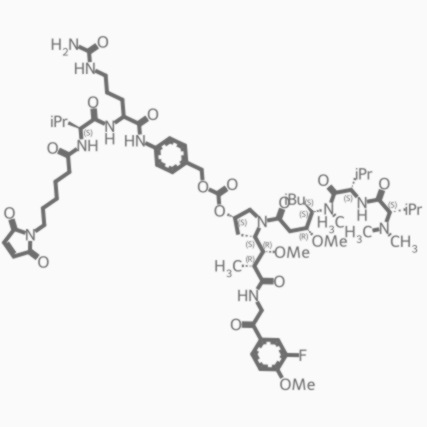 CC[C@H](C)[C@@H]([C@@H](CC(=O)N1C[C@@H](OC(=O)OCc2ccc(NC(=O)C(CCCNC(N)=O)NC(=O)[C@@H](NC(=O)CCCCCN3C(=O)C=CC3=O)C(C)C)cc2)C[C@H]1[C@H](OC)[C@@H](C)C(=O)NCC(=O)c1ccc(OC)c(F)c1)OC)N(C)C(=O)[C@@H](NC(=O)[C@H](C(C)C)N(C)C)C(C)C